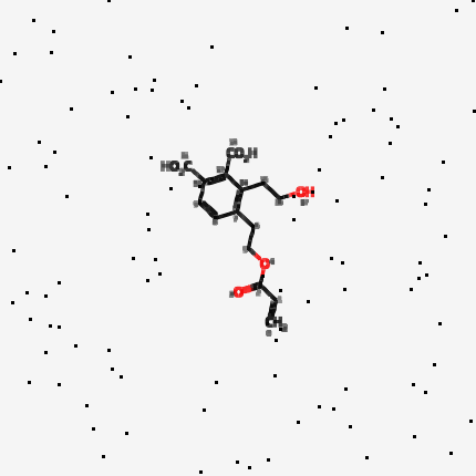 C=CC(=O)OCCc1ccc(C(=O)O)c(C(=O)O)c1CCO